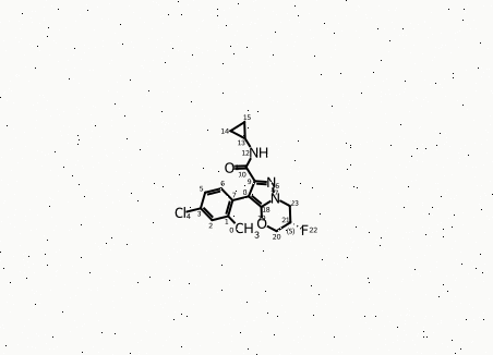 Cc1cc(Cl)ccc1-c1c(C(=O)NC2CC2)nn2c1OC[C@@H](F)C2